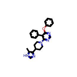 Cc1[nH]cnc1C1CCN(c2ncnc(Oc3ccccc3)c2-c2ccccc2)CC1